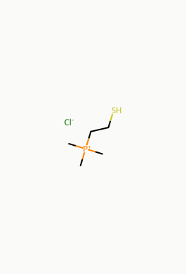 C[P+](C)(C)CCS.[Cl-]